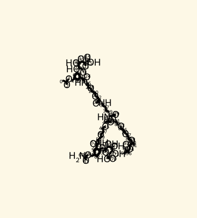 CC(=O)OCc1ccc(O[C@@H]2O[C@H](C(=O)O)[C@@H](O)[C@H](O)[C@H]2O)c(C(=O)NCCOCCOCC(=O)NCCCC[C@@H](NC(=O)COCCOCCNC(=O)c2cc(COC(N)=O)ccc2O[C@@H]2O[C@H](C(=O)O)[C@@H](O)[C@H](O)[C@H]2O)C(=O)NCCOCCOCCON(C)C(=O)OC(C)(C)C)c1